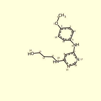 COc1ccc(Nc2cc(NCCCO)ncn2)cc1